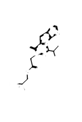 CC(C)c1nn(CC(=O)NC[C@@H](C)O)c(=O)c2cc3scnc3n12